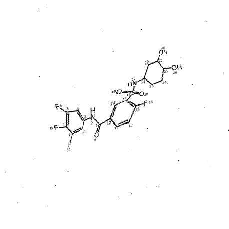 O=C(Nc1cc(F)c(F)c(F)c1)c1ccc(F)c(S(=O)(=O)NC2CCC(O)C(O)C2)c1